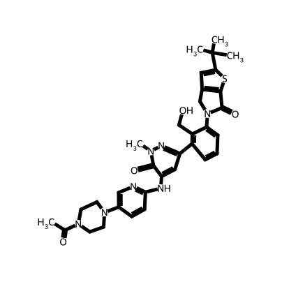 CC(=O)N1CCN(c2ccc(Nc3cc(-c4cccc(N5Cc6cc(C(C)(C)C)sc6C5=O)c4CO)nn(C)c3=O)nc2)CC1